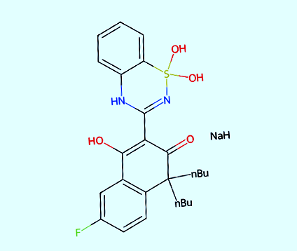 CCCCC1(CCCC)C(=O)C(C2=NS(O)(O)c3ccccc3N2)=C(O)c2cc(F)ccc21.[NaH]